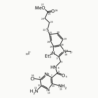 CCn1c(CNC(=O)c2nc(Cl)c(N)nc2N)[n+](C)c2ccc(SCCC(=O)OC)cc21.[I-]